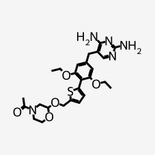 CCOc1cc(Cc2cnc(N)nc2N)cc(OCC)c1-c1ccc(COC2CN(C(C)=O)CCO2)s1